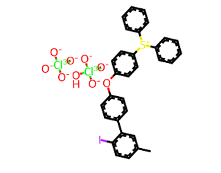 Cc1ccc(I)c(-c2ccc(Oc3ccc([S+](c4ccccc4)c4ccccc4)cc3)cc2)c1.[O-][Cl+3]([O-])([O-])O.[O-][Cl+3]([O-])([O-])[O-]